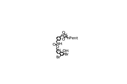 CCCCCn1sc(=O)n(Cc2ccc(CNC(=O)OCc3ccc4c(Br)cc(Br)c(O)c4n3)cc2)c1=O